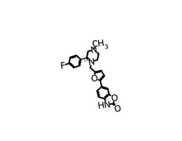 CN1CCN(Cc2ccc(-c3ccc4[nH]c(=O)oc4c3)o2)[C@@H](c2ccc(F)cc2)C1